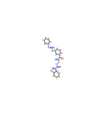 O=C(NCCNc1nsc2ccccc12)c1cccc(CNCc2ccccc2)c1